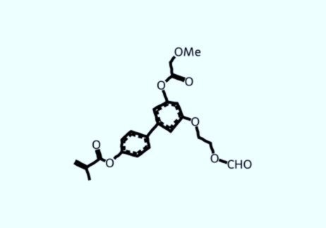 C=C(C)C(=O)Oc1ccc(-c2cc(OCCOC=O)cc(OC(=O)COC)c2)cc1